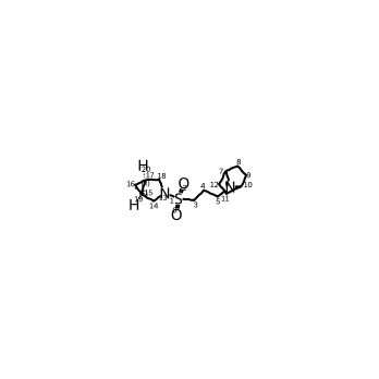 O=S(=O)(CCCN1C2CCC1CC2)N1C[C@H]2[CH][C@H]2C1